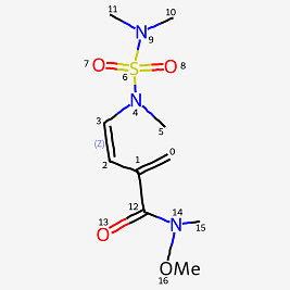 C=C(/C=C\N(C)S(=O)(=O)N(C)C)C(=O)N(C)OC